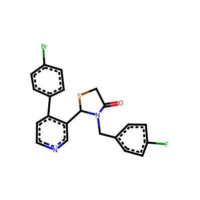 O=C1CSC(c2cnccc2-c2ccc(Br)cc2)N1Cc1ccc(F)cc1